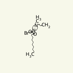 C=CC[N+]1(CC)CCN(S(=O)(=O)CCCCCCCCC)CC1.[Br-]